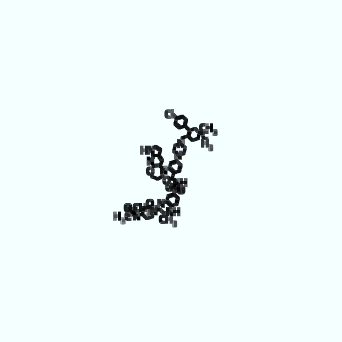 C[C@@H](CN1CCC(N=S(C)(C)=O)CC1)Nc1ccc(S(=O)(=O)NC(=O)c2ccc(N3CCN(CC4=C(c5ccc(Cl)cc5)CC(C)(C)CC4)CC3)cc2N2CCCOc3nc4[nH]ccc4cc32)cc1[N+](=O)[O-]